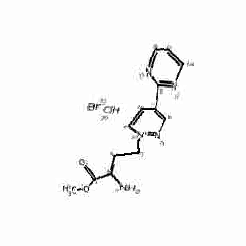 COC(=O)C(N)CC[n+]1ccc(-c2ncccn2)cn1.Cl.[Br-]